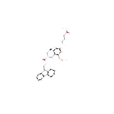 C#CCN(Cc1ccc(OCCCC(=O)O)cc1OC)C(=O)OCC1c2ccccc2-c2ccccc21